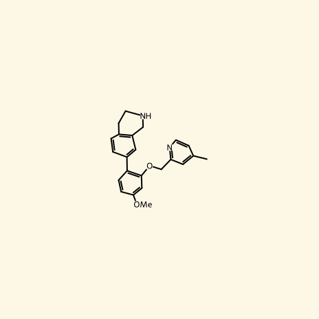 COc1ccc(-c2ccc3c(c2)CNCC3)c(OCc2cc(C)ccn2)c1